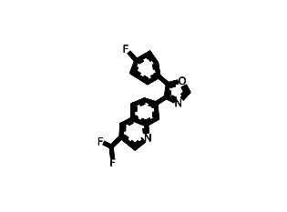 Fc1ccc(-c2ocnc2-c2ccc3cc(C(F)F)cnc3c2)cc1